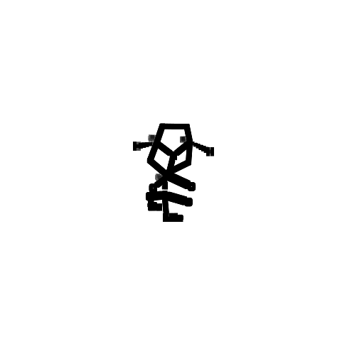 CNS(=O)(=O)[C@@H]1C[C@H]2CC[C@@H](C1)N2C(=O)OC(C)(C)C